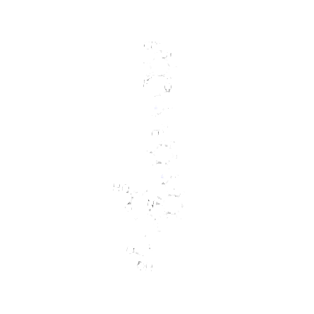 Cc1c(CCCC(=O)O)c2cccc(/C=C/c3ccc(OC/C=C/COc4ccc(Cl)cc4F)cc3)c2n1CC(=O)O